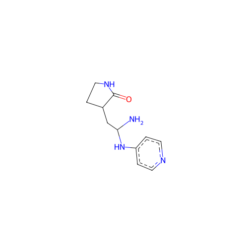 NC(CC1CCNC1=O)Nc1ccncc1